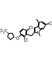 Cc1cc(C(F)(F)F)cc2c1cc(Cc1c(Cl)ccc(O[C@@H]3CC[C@@H](C(=O)O)C3)c1Cl)n2C